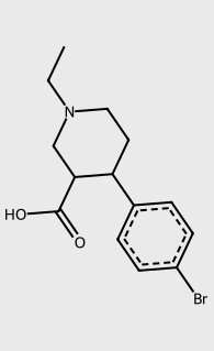 CCN1CCC(c2ccc(Br)cc2)C(C(=O)O)C1